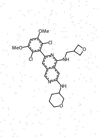 COc1cc(OC)c(Cl)c(-c2cc3cnc(NC4CCCOC4)cc3c(NCC3COC3)n2)c1Cl